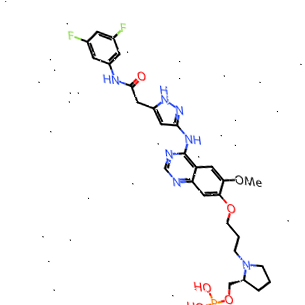 COc1cc2c(Nc3cc(CC(=O)Nc4cc(F)cc(F)c4)[nH]n3)ncnc2cc1OCCCN1CCC[C@H]1COP(=O)(O)O